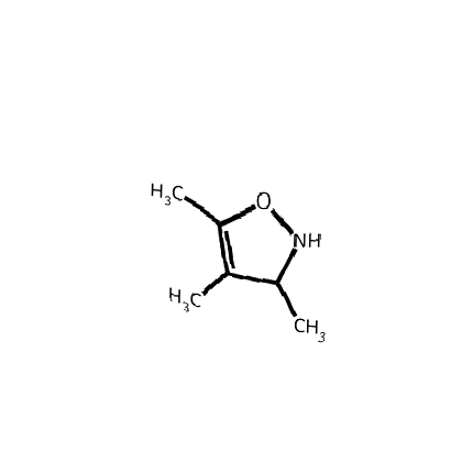 CC1=C(C)C(C)NO1